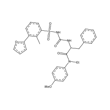 CCN(C(=O)C(Cc1ccccc1)NC(=O)NS(=O)(=O)c1cccc(-c2ccco2)c1C)c1ccc(OC)cc1